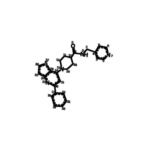 O=C(NCc1ccncc1)C1CCN(c2cc(-c3ccccc3)nc3ccsc23)CC1